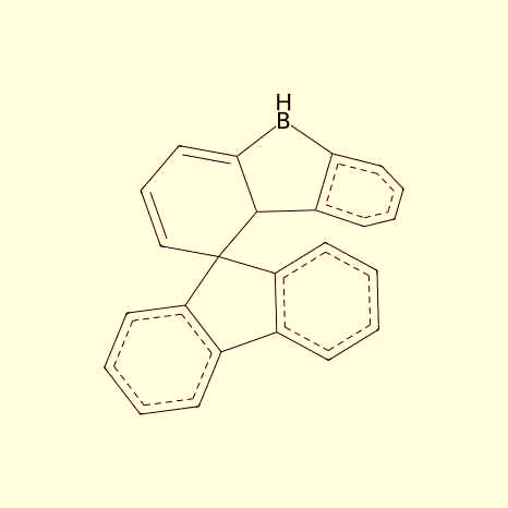 B1C2=CC=CC3(c4ccccc4-c4ccccc43)C2c2ccccc21